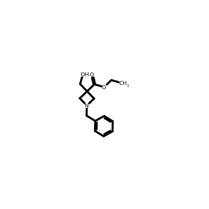 CCOC(=O)C1(CO)CN(Cc2ccccc2)C1